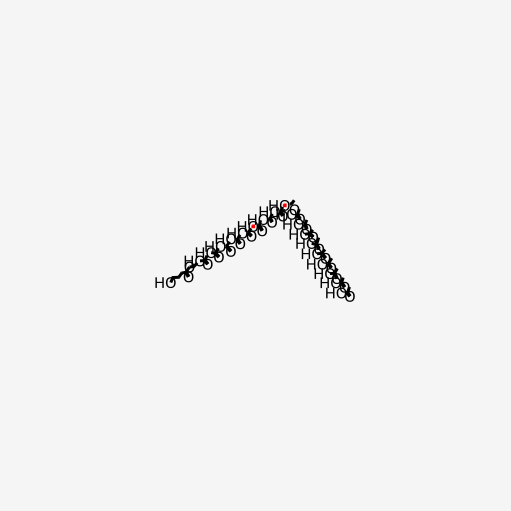 CC(=O)O.CC(=O)O.CC(=O)O.CC(=O)O.CC(=O)O.CC(=O)O.CC(=O)O.CC(=O)O.CC(=O)O.CC(=O)O.CC(=O)O.CC(=O)O.CC(=O)O.CC(=O)O.CC(=O)O.CC(=O)O.CC(=O)O.CC(=O)O.CCOC(=O)CCCO